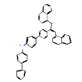 CN(c1ccc(-c2ccccc2)cc1)c1ccc(-c2ccc(/C(=C\c3cccc4ccccc34)Cc3cccc4ccccc34)cc2)cc1